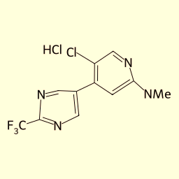 CNc1cc(-c2cnc(C(F)(F)F)nc2)c(Cl)cn1.Cl